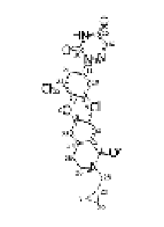 O=C1c2ccc(Oc3c(Cl)cc(-n4ncc(=O)[nH]c4=O)cc3Cl)cc2CCN1CC1CC1